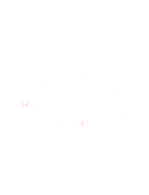 COc1ccc(-c2c(C(=O)O)c(CO)c(OC)c3ccsc23)cc1OC